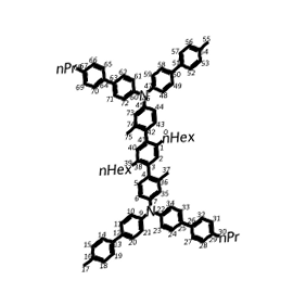 CCCCCCc1cc(-c2ccc(N(c3ccc(-c4ccc(C)cc4)cc3)c3ccc(-c4ccc(CCC)cc4)cc3)cc2C)c(CCCCCC)cc1-c1ccc(N(c2ccc(-c3ccc(C)cc3)cc2)c2ccc(-c3ccc(CCC)cc3)cc2)cc1C